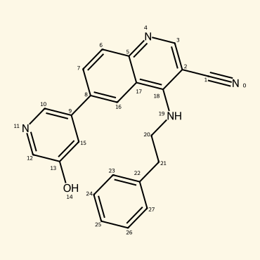 N#Cc1cnc2ccc(-c3cncc(O)c3)cc2c1NCCc1ccccc1